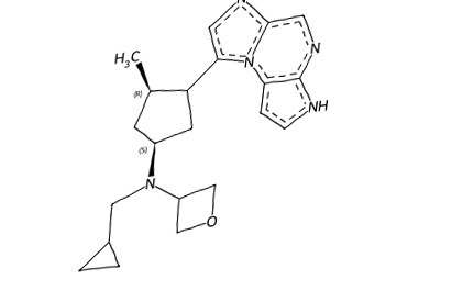 C[C@@H]1C[C@H](N(CC2CC2)C2COC2)CC1c1cnc2cnc3[nH]ccc3n12